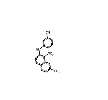 Cc1ccc2ccc(Nc3cccc(C#N)c3)c([N+](=O)[O-])c2c1